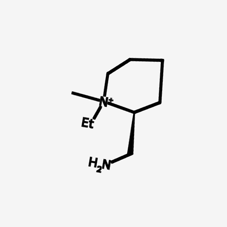 CC[N+]1(C)CCCC[C@H]1CN